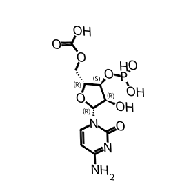 Nc1ccn([C@@H]2O[C@H](COC(=O)O)[C@@H](O[PH](=O)O)[C@H]2O)c(=O)n1